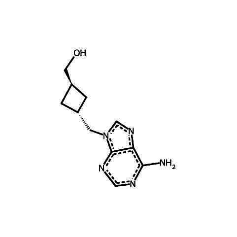 Nc1ncnc2c1ncn2C[C@H]1C[C@H](CO)C1